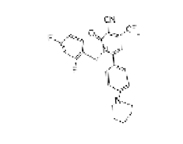 N#Cc1c(C(F)(F)F)cc(-c2ccc(N3CCCCC3)cc2)n(Cc2ccc(F)cc2F)c1=O